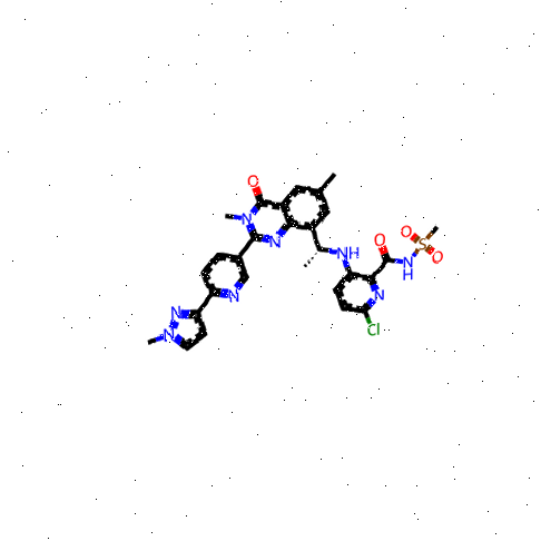 Cc1cc([C@@H](C)Nc2ccc(Cl)nc2C(=O)NS(C)(=O)=O)c2nc(-c3ccc(-c4ccn(C)n4)nc3)n(C)c(=O)c2c1